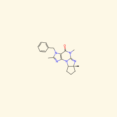 Cc1nc2c(n1Cc1ccccc1)C(=O)N(C)C1=N[C@]3(C)CCCC3N12